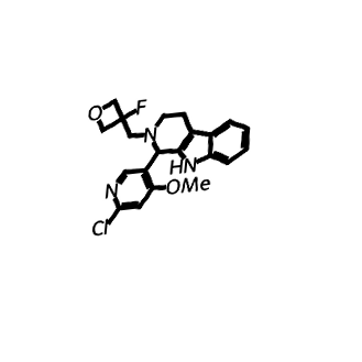 COc1cc(Cl)ncc1C1c2[nH]c3ccccc3c2CCN1CC1(F)COC1